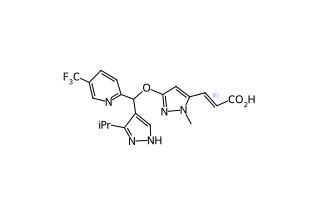 CC(C)c1n[nH]cc1C(Oc1cc(/C=C/C(=O)O)n(C)n1)c1ccc(C(F)(F)F)cn1